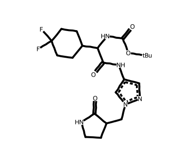 CC(C)(C)OC(=O)NC(C(=O)Nc1cnn(CC2CCNC2=O)c1)C1CCC(F)(F)CC1